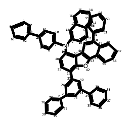 c1ccc(-c2ccc(N(c3ccc4ccccc4c3)c3ccc(-c4cc(-c5ccccc5)cc(-c5ccccc5)c4)c4oc5c6ccccc6c(-c6ccccc6)cc5c34)cc2)cc1